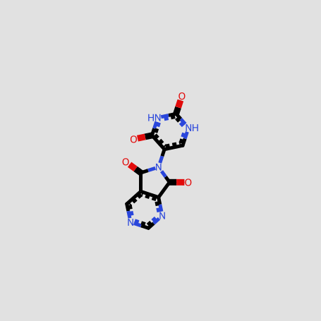 O=C1c2cncnc2C(=O)N1c1c[nH]c(=O)[nH]c1=O